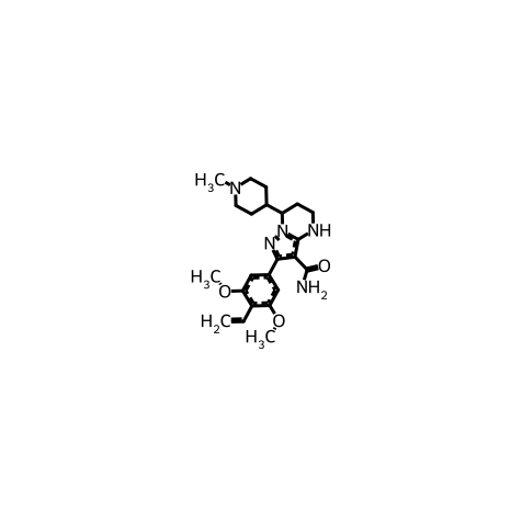 C=Cc1c(OC)cc(-c2nn3c(c2C(N)=O)NCCC3C2CCN(C)CC2)cc1OC